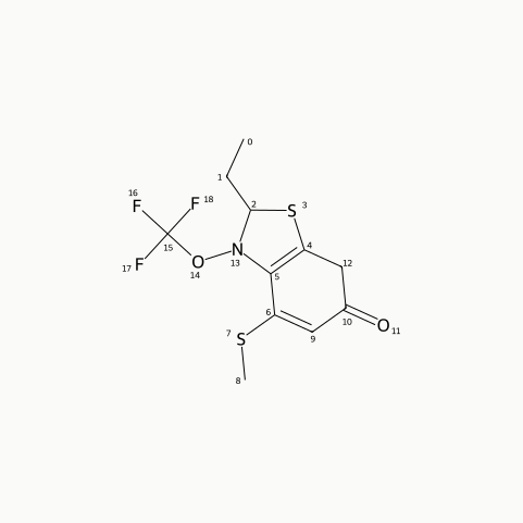 CCC1SC2=C(C(SC)=CC(=O)C2)N1OC(F)(F)F